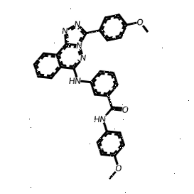 COc1ccc(NC(=O)c2cccc(Nc3nn4c(-c5ccc(OC)cc5)nnc4c4ccccc34)c2)cc1